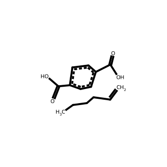 C=CCCCC.O=C(O)c1ccc(C(=O)O)cc1